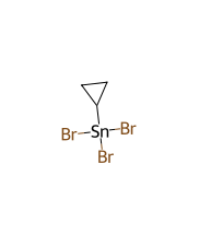 [Br][Sn]([Br])([Br])[CH]1CC1